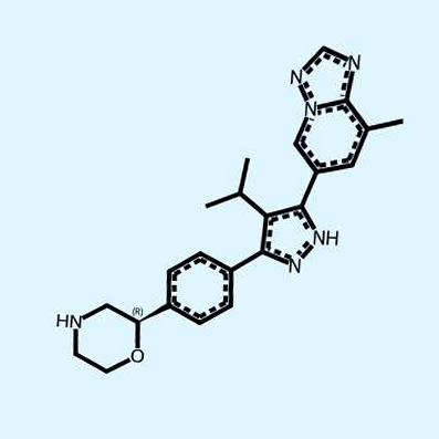 Cc1cc(-c2[nH]nc(-c3ccc([C@@H]4CNCCO4)cc3)c2C(C)C)cn2ncnc12